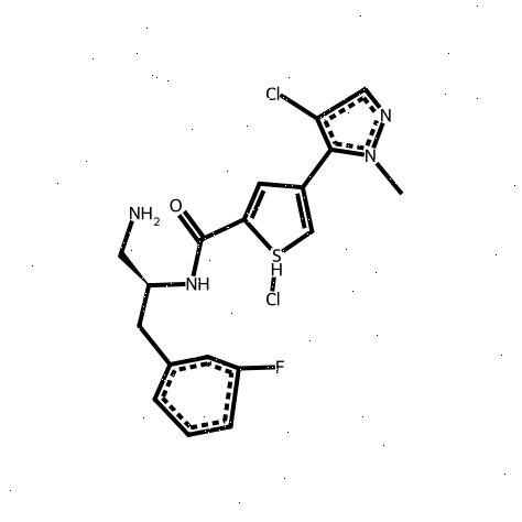 Cn1ncc(Cl)c1C1=C[SH](Cl)C(C(=O)N[C@H](CN)Cc2cccc(F)c2)=C1